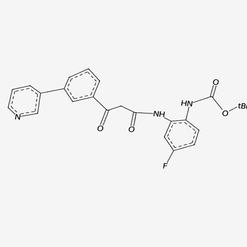 CC(C)(C)OC(=O)Nc1ccc(F)cc1NC(=O)CC(=O)c1cccc(-c2cccnc2)c1